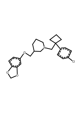 Clc1ccc(C2(CN3CCCC(COc4ccc5c(c4)OCO5)C3)CCC2)cc1